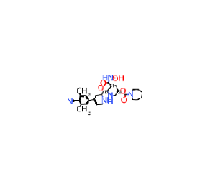 Cc1cc(C2=CCNC(C(=O)[C@H]3NC[C@@H](OC(=O)N4CCCCCC4)C[C@@H]3C(=O)NO)C2)cc(C)c1C#N